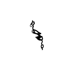 CC1CCC(CCc2ccc(C3CCC(CCC4CCC(C)CO4)OC3)cc2)CC1